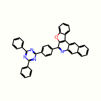 c1ccc(-c2nc(-c3ccccc3)nc(-c3ccc(-c4nc5cc6ccccc6cc5c5c4oc4ccccc45)cc3)n2)cc1